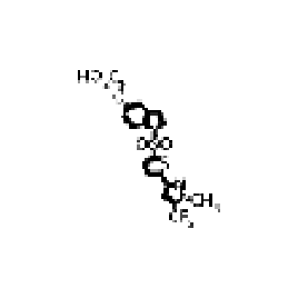 Cn1nc(-c2ccc(S(=O)(=O)n3ccc4cc(OCC(=O)O)ccc43)s2)cc1C(F)(F)F